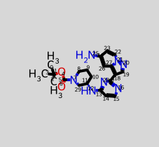 CC(C)(C)OC(=O)N1CCC[C@@H](Nc2ccnc(-c3cnn4ccc(N)cc34)n2)C1